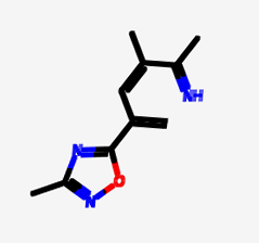 C=C(/C=C(/C)C(C)=N)c1nc(C)no1